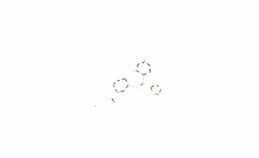 CCCCNC(=O)c1ccc2c(c1)N=C(c1ccc(Cl)s1)c1ccc(Cl)cc1S2